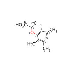 Cc1cc(C)c(C)c(OC(C)C(=O)O)c1